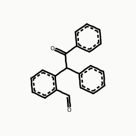 O=Cc1ccccc1C(C(=O)c1ccccc1)c1ccccc1